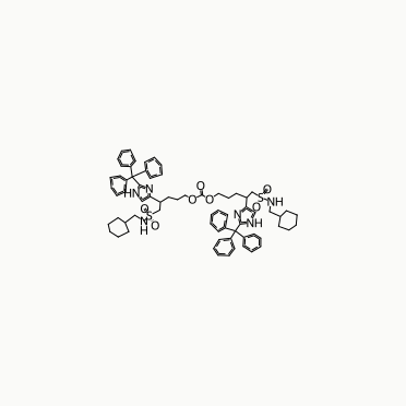 O=C(OCCCC(CS(=O)(=O)NCC1CCCCC1)c1c[nH]c(C(c2ccccc2)(c2ccccc2)c2ccccc2)n1)OCCCC(CS(=O)(=O)NCC1CCCCC1)c1c[nH]c(C(c2ccccc2)(c2ccccc2)c2ccccc2)n1